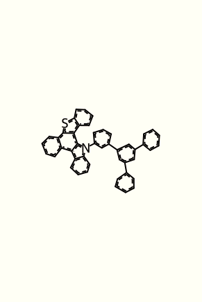 c1ccc(-c2cc(-c3ccccc3)cc(-c3cccc(-n4c5ccccc5c5c6ccccc6c6sc7ccccc7c6c54)c3)c2)cc1